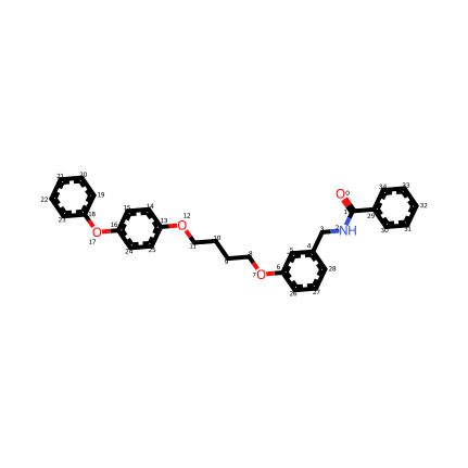 O=C(NCc1[c]c(OCCCCOc2ccc(Oc3ccccc3)cc2)ccc1)c1ccccc1